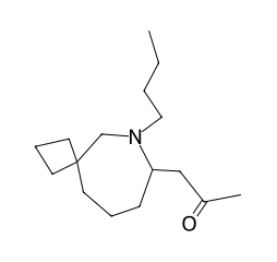 CCCCN1CC2(CCCC1CC(C)=O)CCC2